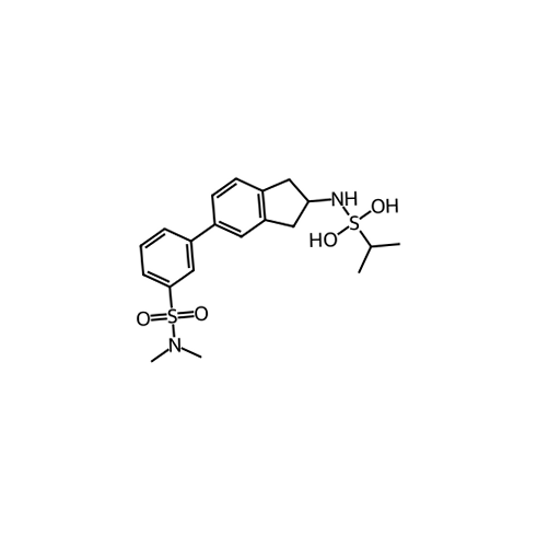 CC(C)S(O)(O)NC1Cc2ccc(-c3cccc(S(=O)(=O)N(C)C)c3)cc2C1